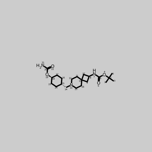 CC(C)(C)OC(=O)NC1CC2(CCN(C[C@H]3CC[C@H](OC(N)=O)CC3)CC2)C1